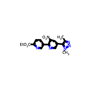 CCOC(=O)c1ccc(-c2ncc(-c3c(C)nnn3C)cc2[N+](=O)[O-])cn1